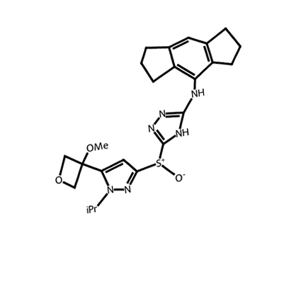 COC1(c2cc([S+]([O-])c3nnc(Nc4c5c(cc6c4CCC6)CCC5)[nH]3)nn2C(C)C)COC1